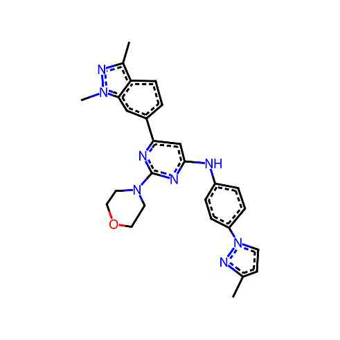 Cc1ccn(-c2ccc(Nc3cc(-c4ccc5c(C)nn(C)c5c4)nc(N4CCOCC4)n3)cc2)n1